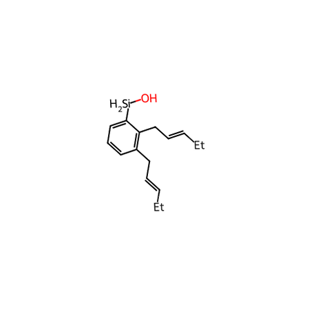 CCC=CCc1cccc([SiH2]O)c1CC=CCC